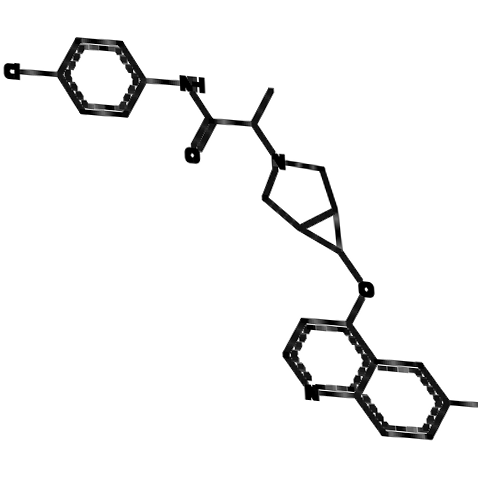 CC(C(=O)Nc1ccc(Cl)cc1)N1CC2C(C1)C2Oc1ccnc2ccc(F)cc12